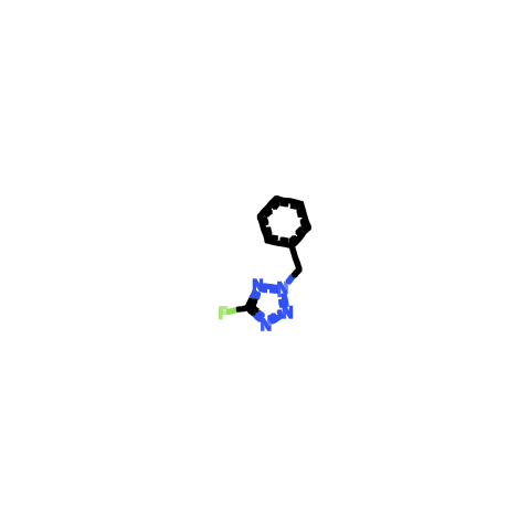 Fc1nnn(Cc2ccccc2)n1